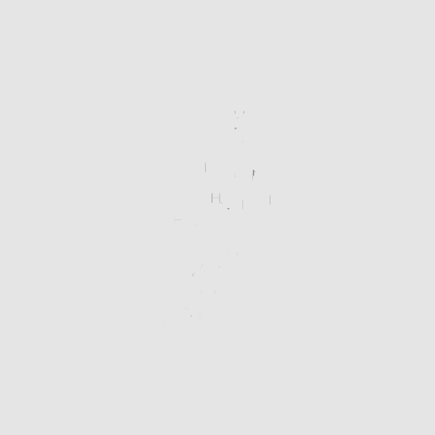 CC1CC2OC(=O)C=C[C@]2(C)[C@@H]2CC[C@]3(C)CC(Oc4ccc(S(C)(=O)=O)cc4)C[C@H]3[C@H]12